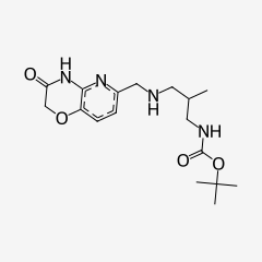 CC(CNCc1ccc2c(n1)NC(=O)CO2)CNC(=O)OC(C)(C)C